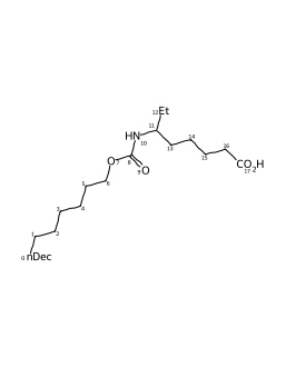 CCCCCCCCCCCCCCCCOC(=O)NC(CC)CCCCC(=O)O